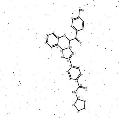 CC(C)(C)c1ccc(C(=O)C2Oc3ccccc3C3CC(c4ccc(C(=O)NC5CCCC5)cc4)=NN23)cc1